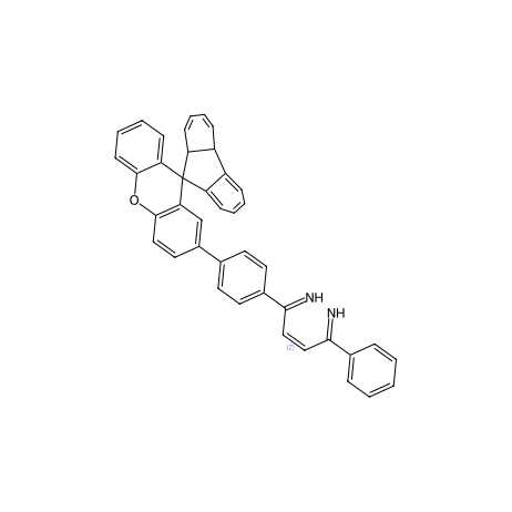 N=C(/C=C\C(=N)c1ccc(-c2ccc3c(c2)C2(c4ccccc4O3)c3ccccc3C3C=CC=CC32)cc1)c1ccccc1